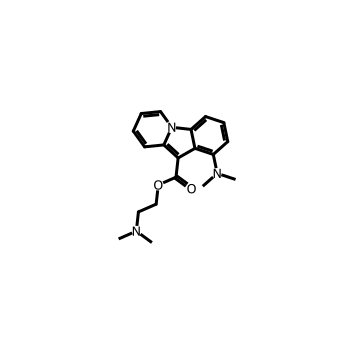 CN(C)CCOC(=O)c1c2c(N(C)C)cccc2n2ccccc12